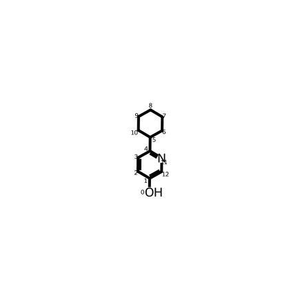 Oc1ccc(C2CCCCC2)nc1